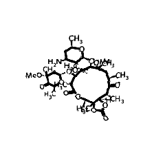 CC[C@H]1OC(=O)[C@H](C)[C@@H](O[C@H]2C[C@@](C)(OC)C(=O)[C@H](C)O2)[C@H](C)[C@@H](O[C@@H]2O[C@H](C)C[C@H](N)[C@H]2OC(C)=O)[C@@](C)(OC)C[C@@H](C)C(=O)[C@H](C)[C@H]2OC(=O)O[C@@]21C